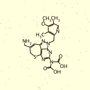 COc1c(C)cnc(Cn2nc3c4c(nc(N(C(=O)O)C(=O)O)nc42)SCC(CN)=C3)c1C